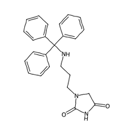 O=C1CN(CCCNC(c2ccccc2)(c2ccccc2)c2ccccc2)C(=O)N1